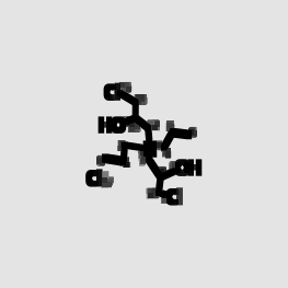 C=CC[N+](CC=C)(CC(O)CCl)CC(O)CCl.[Cl-]